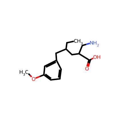 CCC(Cc1cccc(OC)c1)CC(CN)C(=O)O